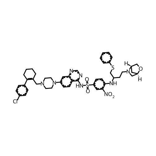 O=[N+]([O-])c1cc(S(=O)(=O)Nc2ncnc3cc(N4CCN(CC5=C(c6ccc(Cl)cc6)CCCC5)CC4)ccc23)ccc1NC(CCN1C[C@H]2C[C@H]1CO2)CSc1ccccc1